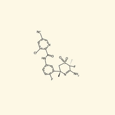 C[C@]1(F)C(N)=N[C@](C)(c2cc(NC(=O)c3ncc(C#N)cc3Cl)ccc2F)CS1(=O)=O